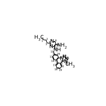 CCCCc1ncc(N)c(NCc2ccc(-c3ccccc3-c3nnnn3C)cc2)n1